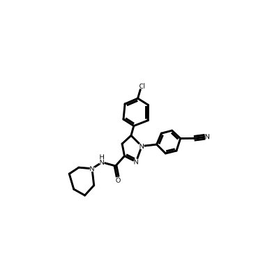 N#Cc1ccc(N2N=C(C(=O)NN3CCCCC3)CC2c2ccc(Cl)cc2)cc1